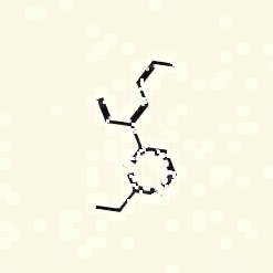 C=C/C(=C\C=C/C)c1ccnc(CC)n1